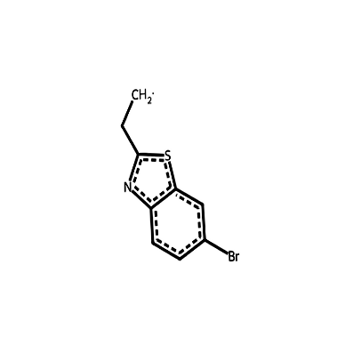 [CH2]Cc1nc2ccc(Br)cc2s1